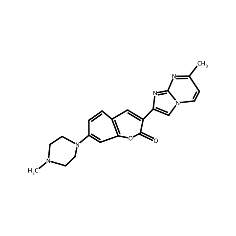 Cc1ccn2cc(-c3cc4ccc(N5CCN(C)CC5)cc4oc3=O)nc2n1